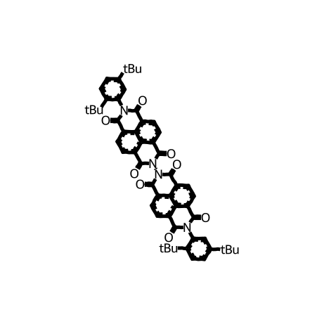 CC(C)(C)c1ccc(C(C)(C)C)c(N2C(=O)c3ccc4c5c(ccc(c35)C2=O)C(=O)N(N2C(=O)c3ccc5c6c(ccc(c36)C2=O)C(=O)N(c2cc(C(C)(C)C)ccc2C(C)(C)C)C5=O)C4=O)c1